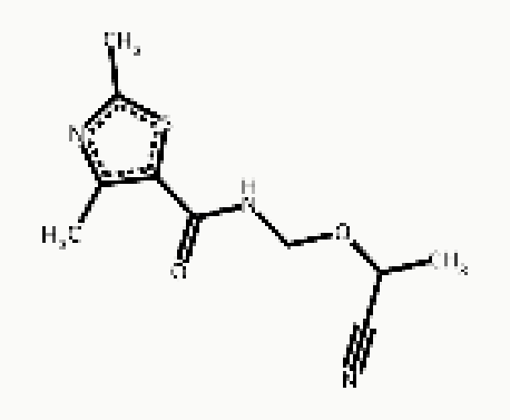 Cc1nc(C)c(C(=O)NCOC(C)C#N)s1